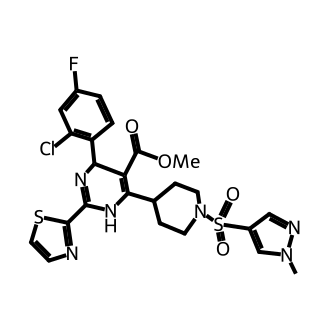 COC(=O)C1=C(C2CCN(S(=O)(=O)c3cnn(C)c3)CC2)NC(c2nccs2)=NC1c1ccc(F)cc1Cl